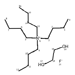 CCCC[N+](CCCC)(CCCC)CCCC.OCCO.[F-]